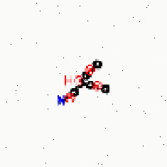 CN(C)CCOc1ccc(CCC(c2ccc(OCc3ccccc3)cc2)C(O)c2ccc(OCc3ccccc3)cc2)cc1